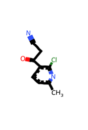 Cc1ccc(C(=O)CC#N)c(Cl)n1